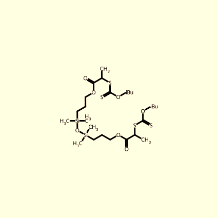 CCC(C)OC(=S)SC(C)C(=O)OCCC[Si](C)(C)O[Si](C)(C)CCCOC(=O)C(C)SC(=S)OC(C)CC